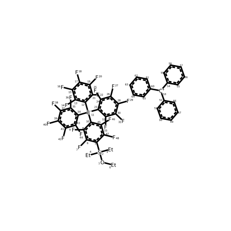 CCO[Si](CC)(CC)c1c(F)c(F)c([B-](c2c(F)c(F)c(F)c(F)c2F)(c2c(F)c(F)c(F)c(F)c2F)c2c(F)c(F)c(F)c(F)c2F)c(F)c1F.c1ccc([C+](c2ccccc2)c2ccccc2)cc1